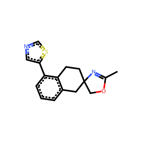 CC1=NC2(CCc3c(cccc3-c3cncs3)C2)CO1